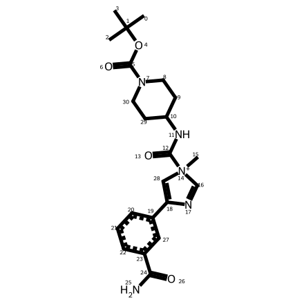 CC(C)(C)OC(=O)N1CCC(NC(=O)[N+]2(C)C=NC(c3cccc(C(N)=O)c3)=C2)CC1